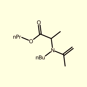 C=C(C)N(CCCC)C(C)C(=O)OCCC